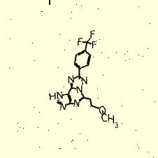 COCCc1nc2nc[nH]c2c2nc(-c3ccc(C(F)(F)F)cc3)nn12